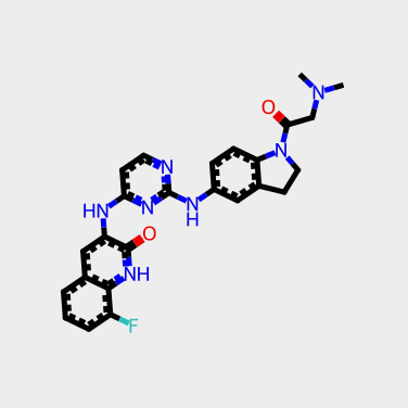 CN(C)CC(=O)N1CCc2cc(Nc3nccc(Nc4cc5cccc(F)c5[nH]c4=O)n3)ccc21